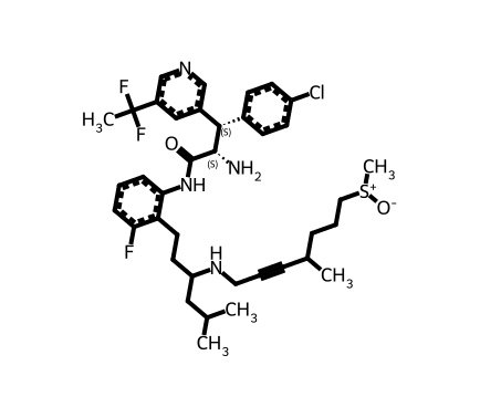 CC(C)CC(CCc1c(F)cccc1NC(=O)[C@@H](N)[C@@H](c1ccc(Cl)cc1)c1cncc(C(C)(F)F)c1)NCC#CC(C)CCC[S+](C)[O-]